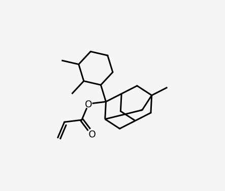 C=CC(=O)OC1(C2CCCC(C)C2C)C2CC3CC1CC(C)(C3)C2